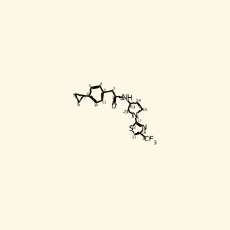 O=C(Cc1ccc(C2CC2)cc1)NC1CCN(c2nc(C(F)(F)F)cs2)C1